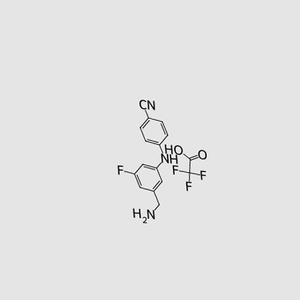 N#Cc1ccc(Nc2cc(F)cc(CN)c2)cc1.O=C(O)C(F)(F)F